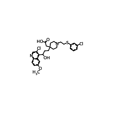 COc1ccc2ncc(Cl)c(C(O)CCC3(CC(=O)O)CCN(CCSc4cccc(Cl)c4)CC3)c2c1